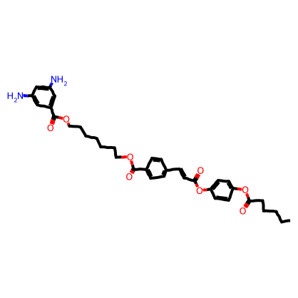 CCCCCC(=O)Oc1ccc(OC(=O)C=Cc2ccc(C(=O)OCCCCCCCOC(=O)c3cc(N)cc(N)c3)cc2)cc1